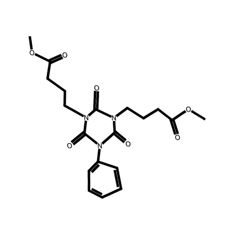 COC(=O)CCCn1c(=O)n(CCCC(=O)OC)c(=O)n(-c2ccccc2)c1=O